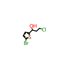 OC(CCCl)c1ccc(Br)s1